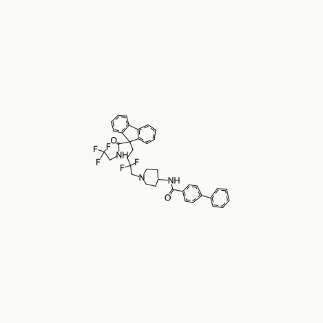 O=C(NC1CCN(CC(F)(F)CCC2(C(=O)NCC(F)(F)F)c3ccccc3-c3ccccc32)CC1)c1ccc(-c2ccccc2)cc1